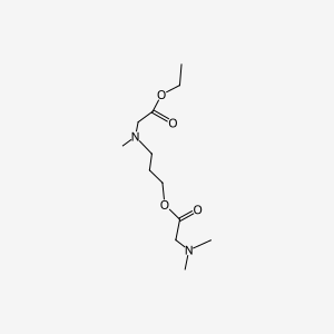 CCOC(=O)CN(C)CCCOC(=O)CN(C)C